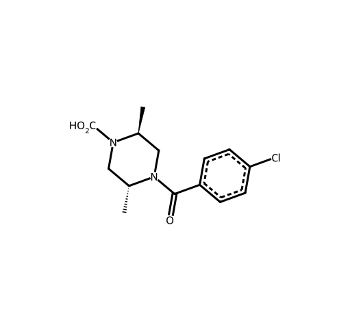 C[C@@H]1CN(C(=O)O)[C@@H](C)CN1C(=O)c1ccc(Cl)cc1